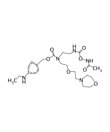 CCNc1ccc(COC(=O)N(CCNC(=O)ONC(C)=O)CCOCCN2CCOCC2)cc1